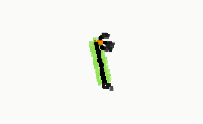 CC(C)C[PH](CC(C)C)(CC(C)C)C(F)(F)C(F)(F)C(F)(F)C(F)(F)C(F)(F)C(F)(F)C(F)(F)C(F)(F)C(F)(F)C(F)(F)C(F)(F)F